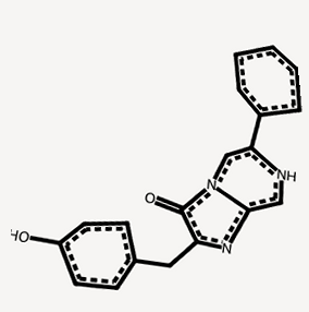 O=c1c(Cc2ccc(O)cc2)nc2c[nH]c(-c3ccccc3)cn1-2